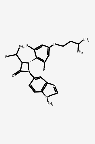 CC(P)CCOc1cc(F)c([C@H]2C(C(F)P)C(=O)N2c2ccc3c(c2)ncn3P)c(F)c1